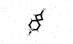 IC1CC2(CCN(I)CC2)C1